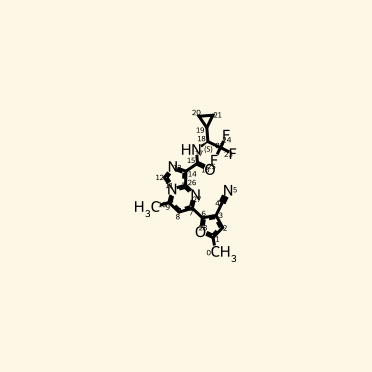 Cc1cc(C#N)c(-c2cc(C)n3cnc(C(=O)N[C@@H](C4CC4)C(F)(F)F)c3n2)o1